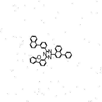 c1ccc(-c2ccc(-c3nc(-c4cccc(-c5cccc6ccccc56)c4)nc(-c4cccc5c4oc4ccccc45)n3)c3ccccc23)cc1